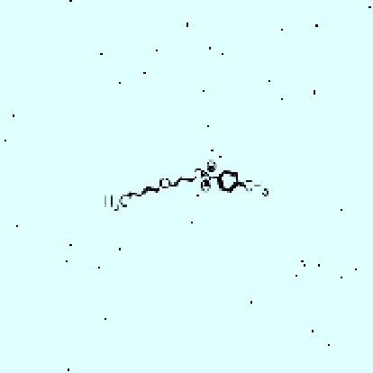 C=CCCCOCCCOS(=O)(=O)c1ccc(C)cc1